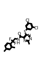 Cc1ccc(C(F)(F)CNC(=O)c2nc(C)nnc2Sc2cc(Cl)cc(Cl)c2)c(C)c1